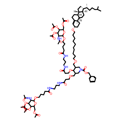 CC(=O)NC1C(OCCCCC(=O)NCCCNC(=O)CCOCC2CN(C(=O)OCc3ccccc3)CC(COCCCCCCCCCCO[C@@H]3C=C4CC[C@H]5[C@@H]6CC[C@H]([C@H](C)CCCC(C)C)[C@H]6CC[C@@H]5[C@@]4(C)CC3)C2OCCC(=O)NCCCNC(=O)CCCCOC2OC(COC(C)=O)C(OC(C)=O)C(OC(C)=O)C2NC(C)=O)OC(COC(C)=O)C(OC(C)=O)C1OC(C)=O